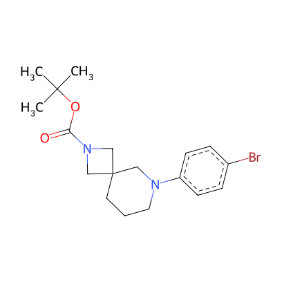 CC(C)(C)OC(=O)N1CC2(CCCN(c3ccc(Br)cc3)C2)C1